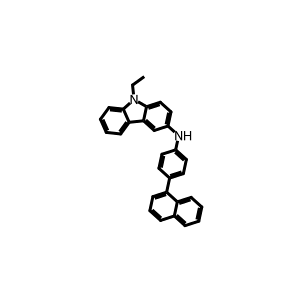 CCn1c2ccccc2c2cc(Nc3ccc(-c4cccc5ccccc45)cc3)ccc21